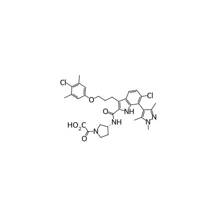 Cc1cc(OCCCc2c(C(=O)N[C@@H]3CCN(C(=O)C(=O)O)C3)[nH]c3c(-c4c(C)nn(C)c4C)c(Cl)ccc23)cc(C)c1Cl